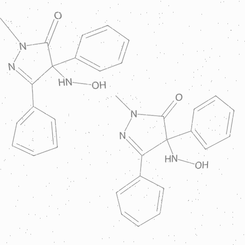 CN1N=C(c2ccccc2)C(NO)(c2ccccc2)C1=O.CN1N=C(c2ccccc2)C(NO)(c2ccccc2)C1=O